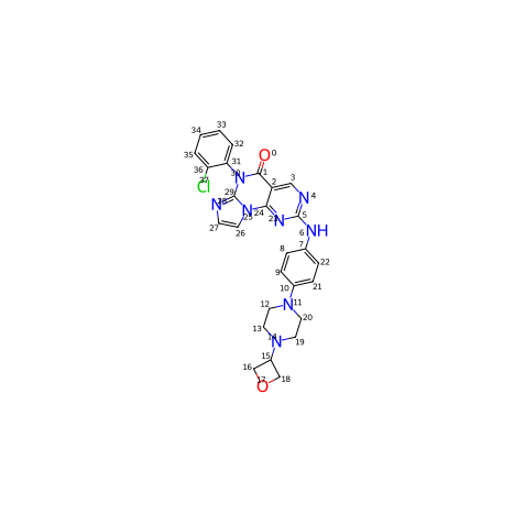 O=c1c2cnc(Nc3ccc(N4CCN(C5COC5)CC4)cc3)nc2n2ccnc2n1-c1ccccc1Cl